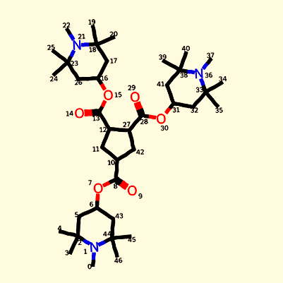 CN1C(C)(C)CC(OC(=O)C2CC(C(=O)OC3CC(C)(C)N(C)C(C)(C)C3)C(C(=O)OC3CC(C)(C)N(C)C(C)(C)C3)C2)CC1(C)C